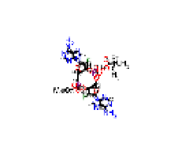 CCC(C)(C)C(=O)OCOP1(=O)OC[C@H]2O[C@@H](n3cnc4c(N)ncnc43)[C@H](F)[C@@H]2OP(=O)(OCOC)CC[C@H]2O[C@@H](n3cnc4c(N)ncnc43)[C@H](F)[C@@H]2O1